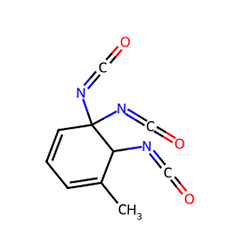 CC1=CC=CC(N=C=O)(N=C=O)C1N=C=O